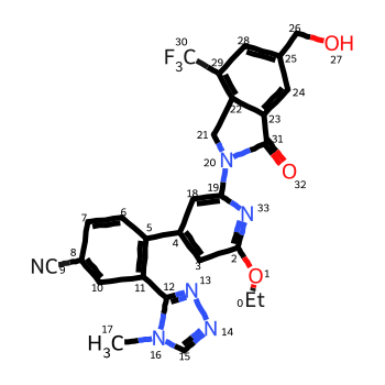 CCOc1cc(-c2ccc(C#N)cc2-c2nncn2C)cc(N2Cc3c(cc(CO)cc3C(F)(F)F)C2=O)n1